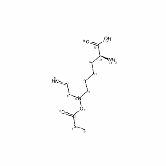 CSC(=O)ON(CC=N)CCCC[C@H](N)C(=O)O